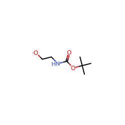 CC(C)(C)OC(=O)NCC[O]